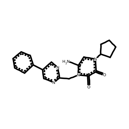 Nc1cn(C2CCCC2)c(=O)c(=O)n1Cc1ncc(-c2ccccc2)cn1